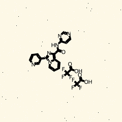 O=C(Nc1ccncn1)c1nc(-c2cccnc2)n2ccccc12.O=C(O)C(F)(F)F.O=C(O)C(F)(F)F